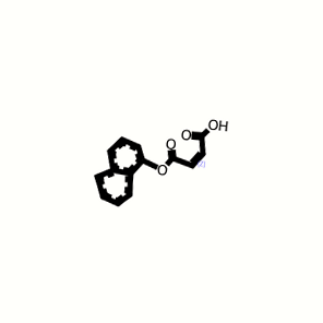 O=C(O)/C=C\C(=O)Oc1cccc2ccccc12